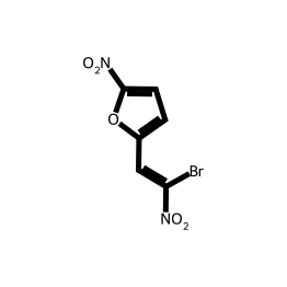 O=[N+]([O-])/C(Br)=C/c1ccc([N+](=O)[O-])o1